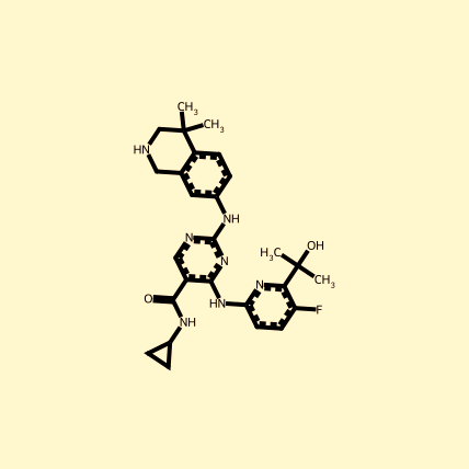 CC(C)(O)c1nc(Nc2nc(Nc3ccc4c(c3)CNCC4(C)C)ncc2C(=O)NC2CC2)ccc1F